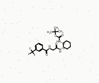 CC(C)(C)OC(=O)N[C@@H]1CCCC[C@@H]1NC(=O)CNC(=O)c1cccc(C(F)(F)F)c1